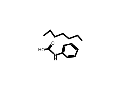 CCCCCCC.O=C(O)Nc1ccccc1